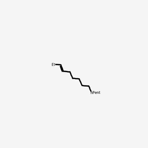 [CH2]CC=CCCCCCCCCC[CH2]